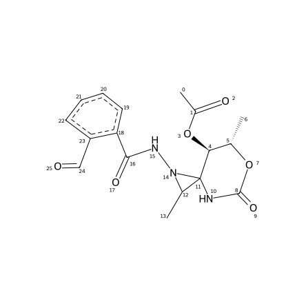 CC(=O)O[C@H]1[C@H](C)OC(=O)NC12C(C)N2NC(=O)c1ccccc1C=O